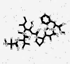 CCC(C)C(C(CC(=O)N1CCCC1C(OC)C(C)C(=O)NC(Cc1ccccc1)C(=O)OC)OC)N(C)C(=O)C(NC(=O)C(C)(C)NC)C(C)C